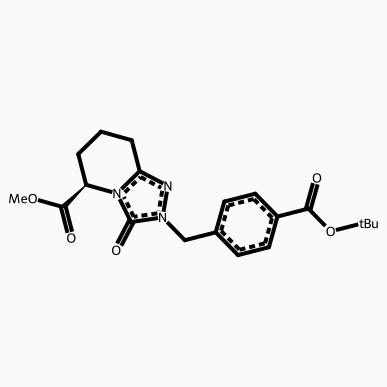 COC(=O)[C@H]1CCCc2nn(Cc3ccc(C(=O)OC(C)(C)C)cc3)c(=O)n21